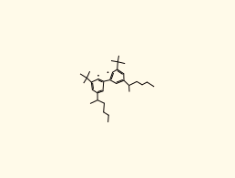 CCCCC(C)c1cc(-c2[c]c(C(C)(C)C)cc(C(C)CCCC)c2)[c]c(C(C)(C)C)c1